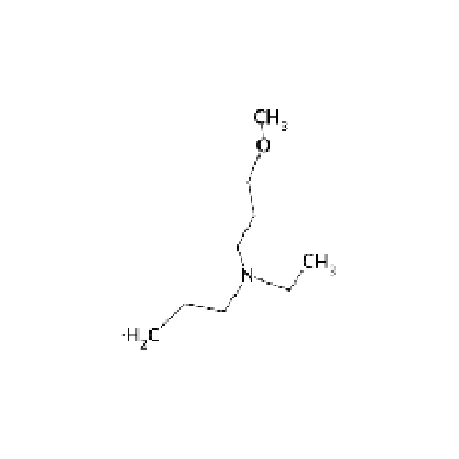 [CH2]CCN(CC)CCCOC